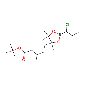 CCC(Cl)B1OC(C)(C)C(C)(CCC(C)CC(=O)OC(C)(C)C)O1